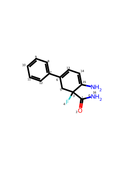 NC(=O)C1(F)CC(c2ccccc2)=CC=C1N